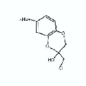 CCCCCCc1ccc2c(c1)OC(O)(CCl)CO2